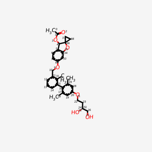 CC(=O)OC1c2ccc(OCc3cccc(-c4c(C)cc(OCC[C@H](O)CO)cc4C)c3C)cc2OC12CC2